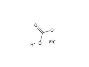 O=C([O-])[O-].[H+].[Rb+]